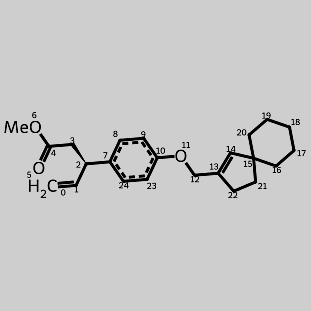 C=C[C@@H](CC(=O)OC)c1ccc(OCC2=CC3(CCCCC3)CC2)cc1